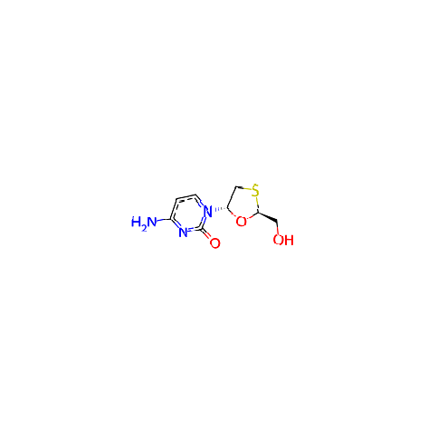 Nc1ccn([C@@H]2CS[C@@H](CO)O2)c(=O)n1